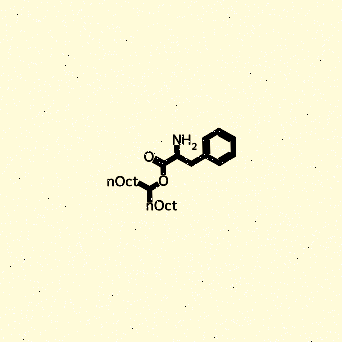 CCCCCCCCC(CCCCCCCC)OC(=O)C(N)Cc1ccccc1